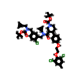 Cc1cc(Cl)c(OCCOc2ccc(C3CCN(C(=O)OC(C)(C)C)CC3C(=O)N(Cc3cc(CN(CC4CC4)C(=O)OC(C)(C)C)ccc3Cl)C3CC3)cc2)c(Cl)c1